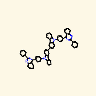 c1ccc(-c2nc(-c3ccc(-n4c5ccccc5c5cc(-c6ccc7c(c6)c6ccccc6n7-c6ccc(-c7nc(-c8ccccc8)nc8ccccc78)cc6)ccc54)cc3)c3ccccc3n2)cc1